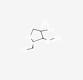 C[C@@]1(O)CO[C@H](CO)C1OP